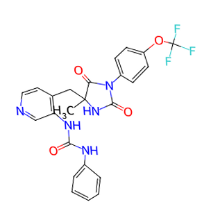 CC1(Cc2ccncc2NC(=O)Nc2ccccc2)NC(=O)N(c2ccc(OC(F)(F)F)cc2)C1=O